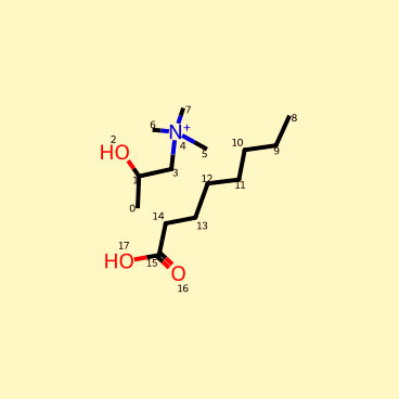 CC(O)C[N+](C)(C)C.CCCCCCCC(=O)O